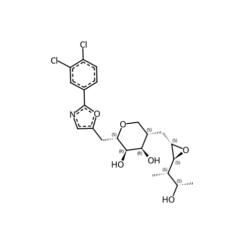 C[C@H]([C@@H]1O[C@H]1C[C@H]1CO[C@@H](Cc2cnc(-c3ccc(Cl)c(Cl)c3)o2)[C@H](O)[C@@H]1O)[C@H](C)O